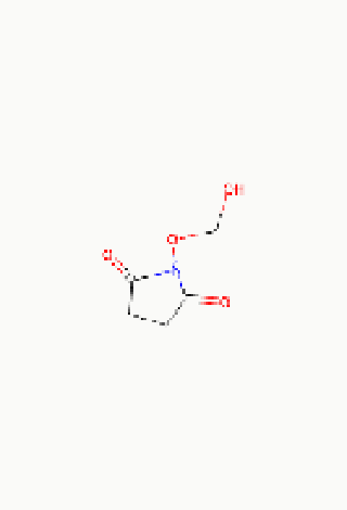 O=C1CCC(=O)N1OCO